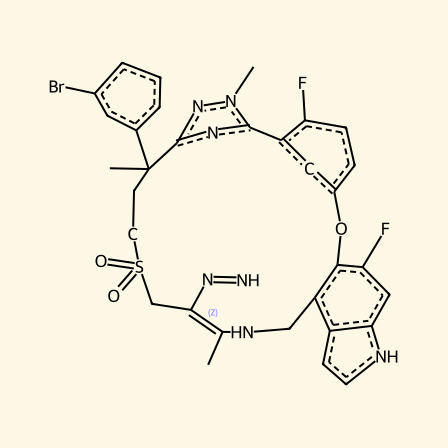 C/C1=C(/N=N)CS(=O)(=O)CCC(C)(c2cccc(Br)c2)c2nc(n(C)n2)-c2cc(ccc2F)Oc2c(F)cc3[nH]ccc3c2CN1